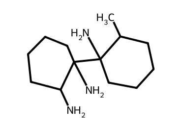 CC1CCCCC1(N)C1(N)CCCCC1N